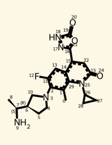 Cc1c(N2CC[C@@H]([C@H](C)N)C2)c(F)cc2c(-c3n[nH]c(=O)o3)cc(=O)n(C3CC3)c12